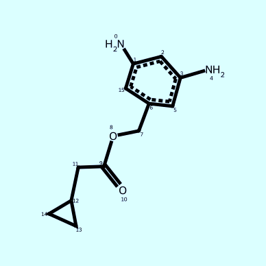 Nc1cc(N)cc(COC(=O)CC2CC2)c1